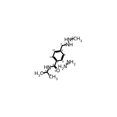 CNNCc1ccc(C(=O)NC(C)C)cc1.NN